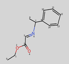 CCOC(=O)C=NC(C)c1ccccc1